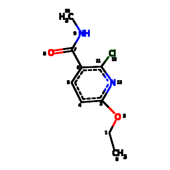 CCOc1ccc(C(=O)NC)c(Cl)n1